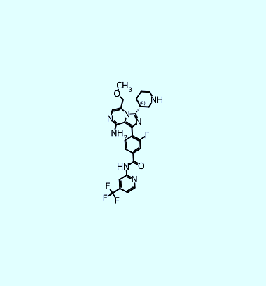 COCc1cnc(N)c2c(-c3ccc(C(=O)Nc4cc(C(F)(F)F)ccn4)cc3F)nc([C@@H]3CCCNC3)n12